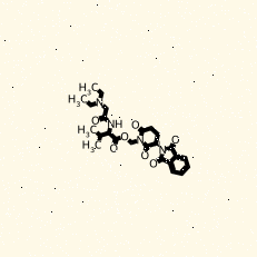 CCN(CC)CC(=O)NC(C(=O)OCN1C(=O)CC[C@H](N2C(=O)c3ccccc3C2=O)C1=O)C(C)C